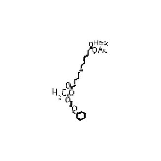 CCCCCCC(CC=CCCCCCCCC(=O)OC(C)OCCOCc1ccccc1)OC(C)=O